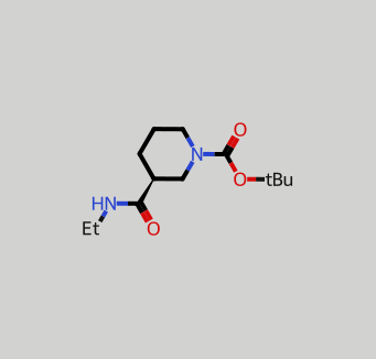 CCNC(=O)[C@H]1CCCN(C(=O)OC(C)(C)C)C1